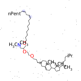 CCCCC/C=C\C/C=C\CCCCCCCCOCC(CN(C)C)OCCOCCC[C@H]1CC[C@@]2(C)C(=CCC3C4CCC(C(C)CCCC(C)C)[C@@]4(C)CCC32)C1